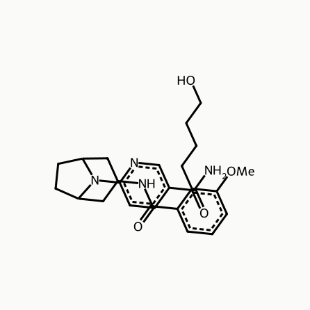 COc1cccc(C(=O)NC2CC3CCC(C2)N3c2ccc(C(N)=O)cn2)c1CCCCO